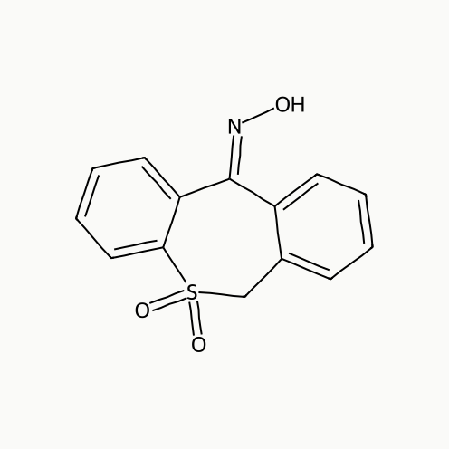 O=S1(=O)Cc2ccccc2C(=NO)c2ccccc21